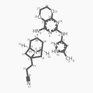 Cc1cc(Nc2nc(N[C@H]3C[C@@H]4CC5(CCC#N)C[C@H](C3)N45)c3c(n2)OCCO3)n[nH]1